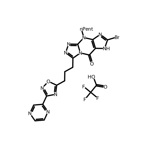 CCCCCn1c2nc(Br)[nH]c2c(=O)n2c(CCCc3nc(-c4cnccn4)no3)nnc12.O=C(O)C(F)(F)F